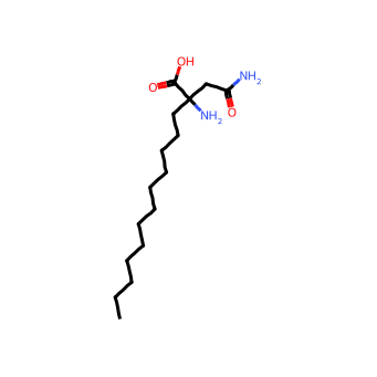 CCCCCCCCCCCCC(N)(CC(N)=O)C(=O)O